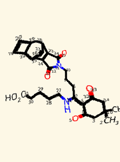 CC1(C)CC(=O)C(=C(CCCN2C(=O)C3C4C=CC(C5C=CC54)C3C2=O)NCCCCC(=O)O)C(=O)C1